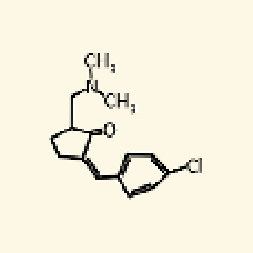 CN(C)CC1CCC(=Cc2ccc(Cl)cc2)C1=O